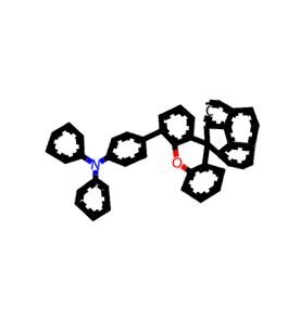 c1ccc(N(c2ccccc2)c2ccc(-c3cccc4c3Oc3ccccc3C43c4cccc5ccc6cccc3c6c45)cc2)cc1